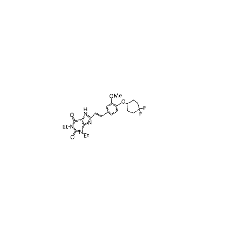 CCn1c(=O)c2[nH]c(C=Cc3ccc(OC4CCC(F)(F)CC4)c(OC)c3)nc2n(CC)c1=O